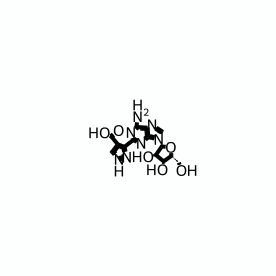 Nc1nc(-c2n[nH]cc2C(=O)O)nc2c1ncn2[C@@H]1O[C@H](CO)[C@@H](O)[C@H]1O